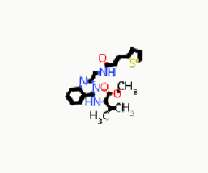 COC(=O)[C@@H](Nc1nc(CNC(=O)/C=C/c2cccs2)nc2ccccc12)C(C)C